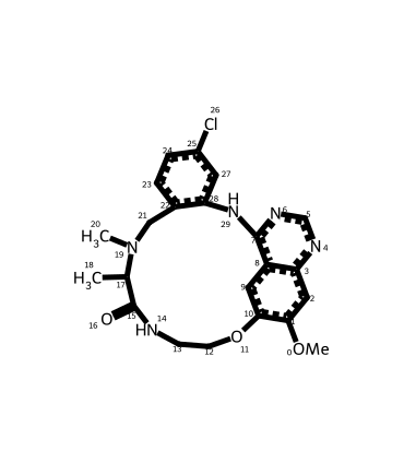 COc1cc2ncnc3c2cc1OCCNC(=O)C(C)N(C)Cc1ccc(Cl)cc1N3